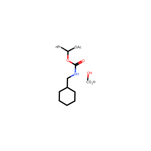 CCCC(OC(C)=O)OC(=O)NCC1CCCCC1.O=C(O)O